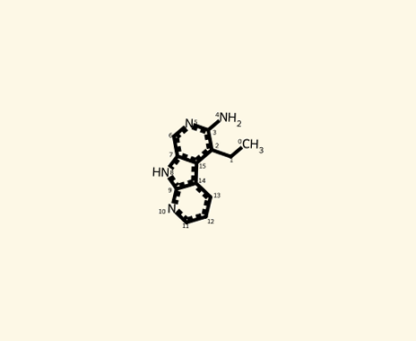 CCc1c(N)ncc2[nH]c3ncccc3c12